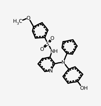 COc1ccc(S(=O)(=O)Nc2cccnc2N(c2ccccc2)c2ccc(O)cc2)cc1